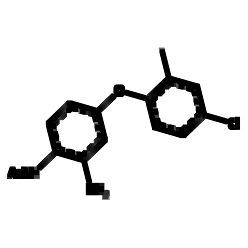 CC(=O)Nc1ccc(Oc2ccc(Cl)cc2C)cc1N